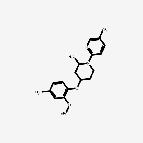 CCCOc1cc(C)ccc1OC1CCN(c2ccc(C(F)(F)F)cn2)C(C)C1